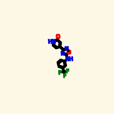 O=c1cc(-c2noc(Nc3cccc(C(F)(F)F)c3)n2)cc[nH]1